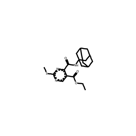 CCOC(=O)c1cnc(SC)nc1C(=O)NC12CC3CC(CC(C3)C1)C2